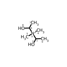 CC(O)[N+](C)(C)C(C)O